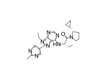 CC[C@H](Nc1ncnc2c1nc(-c1cnc(C)nc1)n2CC)C(=O)N1CCC[C@H]1C1CC1